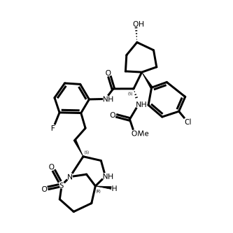 COC(=O)N[C@H](C(=O)Nc1cccc(F)c1CC[C@H]1CN[C@@H]2CCCS(=O)(=O)N1C2)[C@]1(c2ccc(Cl)cc2)CC[C@H](O)CC1